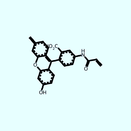 C=CC(=O)Nc1ccc(C2=c3ccc(=C)cc3Oc3cc(O)ccc32)c(C(=O)O)c1